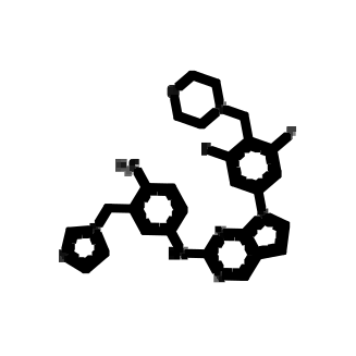 Cc1ccc(Nc2ncc3ccn(-c4cc(F)c(CN5CCOCC5)c(F)c4)c3n2)cc1Cn1ccnc1